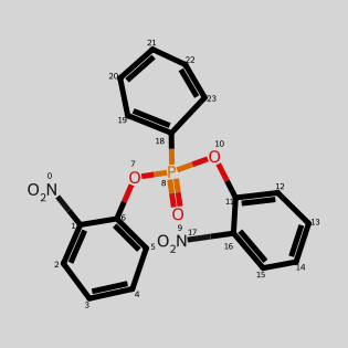 O=[N+]([O-])c1ccccc1OP(=O)(Oc1ccccc1[N+](=O)[O-])c1ccccc1